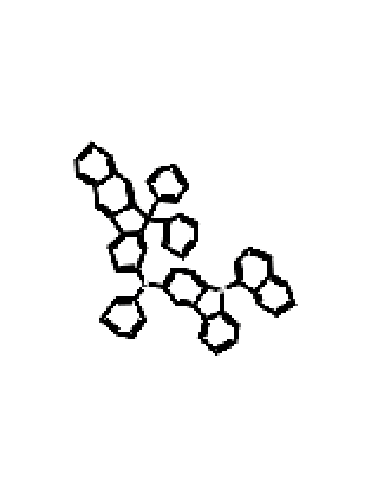 c1ccc(N(c2ccc3c(c2)C(c2ccccc2)(c2ccccc2)c2cc4ccccc4cc2-3)c2ccc3c(c2)c2ccccc2n3-c2cccc3ccccc23)cc1